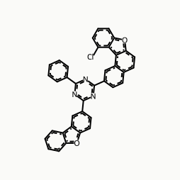 Clc1cccc2oc3ccc4ccc(-c5nc(-c6ccccc6)nc(-c6ccc7oc8ccccc8c7c6)n5)cc4c3c12